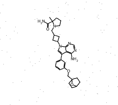 CC1(C(N)=O)CCCN1CC1CC(n2cc(-c3cccc(OCC45CCC(CC4)O5)c3)c3c(N)ncnc32)C1